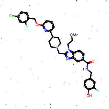 COCCn1c(CN2CCC(c3cccc(OCc4ccc(Cl)cc4F)n3)CC2)nc2cc(C(=O)NCc3ccc(O)c(F)c3)ccc21